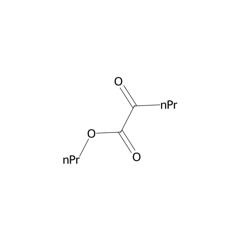 CCCOC(=O)C(=O)CCC